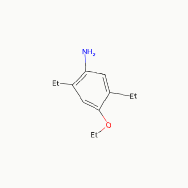 CCOc1cc(CC)c(N)cc1CC